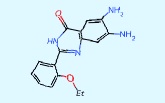 CCOc1ccccc1-c1nc2cc(N)c(N)cc2c(=O)[nH]1